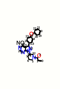 C=CC(=O)N1CCC[C@@H](n2nc(-c3ccc(Oc4ccccc4)cc3)c3c([N+](=O)[O-])ncnc32)C1